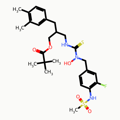 Cc1ccc(CC(CNC(=S)N(O)Cc2ccc(NS(C)(=O)=O)c(F)c2)COC(=O)C(C)(C)C)cc1C